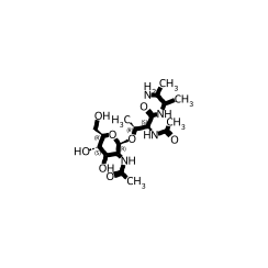 CC(=O)NC1C(O)[C@H](O)[C@@H](CO)O[C@H]1O[C@H](C)[C@H](NC(C)=O)C(=O)NC(C)C(C)N